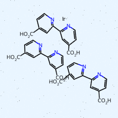 O=C(O)c1ccnc(-c2cc(C(=O)O)ccn2)c1.O=C(O)c1ccnc(-c2cc(C(=O)O)ccn2)c1.O=C(O)c1ccnc(-c2cc(C(=O)O)ccn2)c1.[Ir]